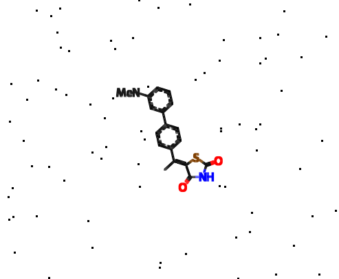 CNc1cccc(-c2ccc(C(C)=C3SC(=O)NC3=O)cc2)c1